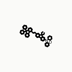 CCC1(CC)c2cc(/C=C/c3cccc4c3-c3ccccc3C4(c3ccccc3)c3ccccc3)ccc2-c2ccc(N3c4ccccc4OC4C=CC=CC43)cc21